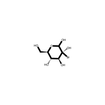 OC[C@H]1OC(O)[C@@](O)(Br)[C@@H](O)[C@@H]1O